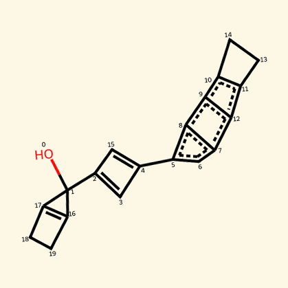 OC1(C2=CC(c3cc4c3c3c5c(c43)CC5)=C2)C2=C1CC2